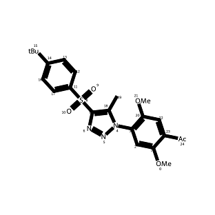 COc1cc(-n2nnc(S(=O)(=O)c3ccc(C(C)(C)C)cc3)c2C)c(OC)cc1C(C)=O